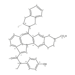 C[C@@H]1Cc2ccccc2CN1C(=O)c1cc2c(cc1-n1cc(C(=O)N(C)c3ccc(O)cc3)c3ccccc31)CCN(C(=O)O)C2